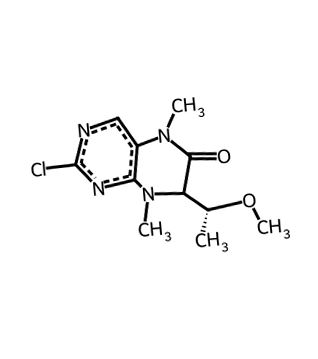 CO[C@H](C)C1C(=O)N(C)c2cnc(Cl)nc2N1C